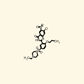 CCCOc1ccc(S(=O)(=O)N2CCN(CC)CC2)cc1-c1nc2cc(Cl)c([N+](=O)[O-])cc2c(=O)[nH]1